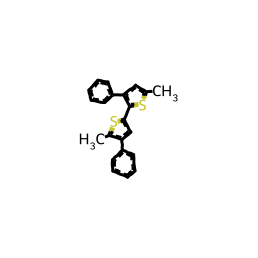 Cc1cc(-c2ccccc2)c(-c2cc(-c3ccccc3)c(C)s2)s1